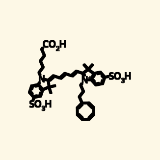 CC1(C)C(/C=C/C=C/C=C2/N(CCCCCC(=O)O)c3ccc(S(=O)(=O)O)cc3C2(C)C)=[N+](CCCC2=C/C=C\C=C/C=C\2)c2ccc(S(=O)(=O)O)cc21